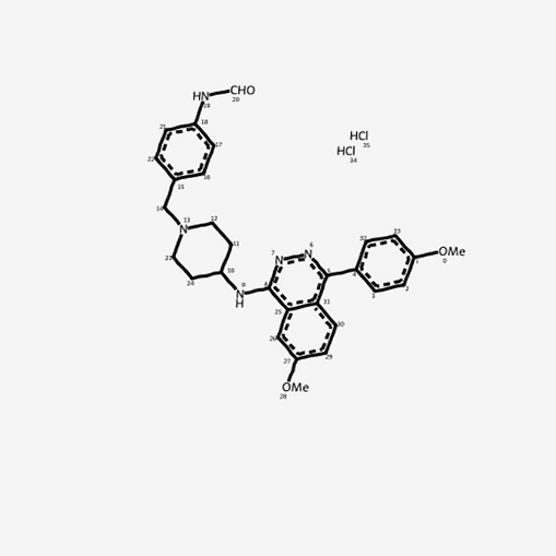 COc1ccc(-c2nnc(NC3CCN(Cc4ccc(NC=O)cc4)CC3)c3cc(OC)ccc23)cc1.Cl.Cl